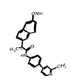 COc1ccc2cc([C@H](C)C(=O)Nc3ccc(-c4ccnc(C)c4)cc3)ccc2c1